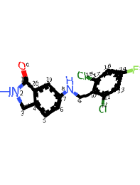 O=C1NCc2ccc(NCc3c(Cl)cc(F)cc3Cl)cc21